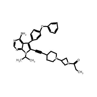 CCC(=O)N1CC(N2CCC(C#Cc3c(-c4ccc(Oc5ccccc5)cc4)c4c(N)ncnc4n3C(C)C)CC2)C1